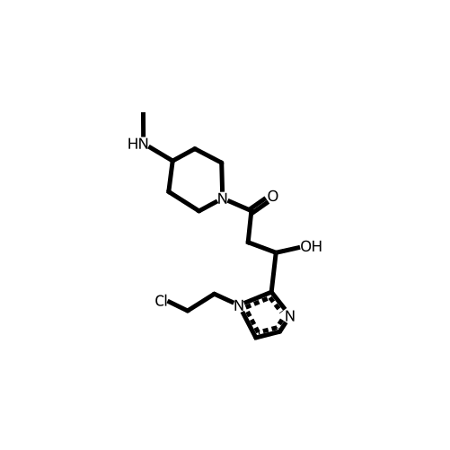 CNC1CCN(C(=O)CC(O)c2nccn2CCCl)CC1